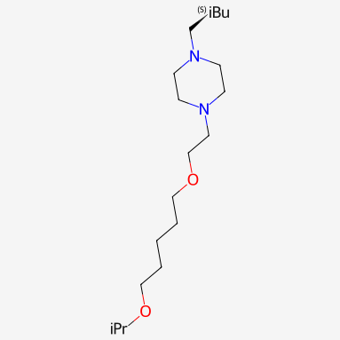 CC[C@H](C)CN1CCN(CCOCCCCCOC(C)C)CC1